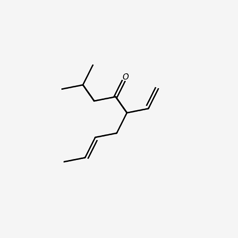 C=CC(CC=CC)C(=O)CC(C)C